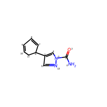 NC(=O)n1cc(C2C=CC=CC2)cn1